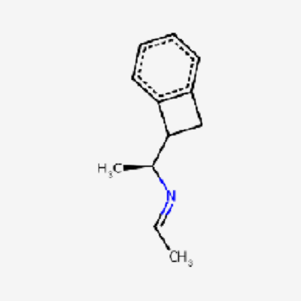 C/C=N/[C@@H](C)C1Cc2ccccc21